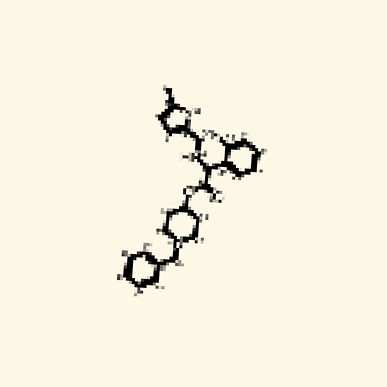 Cc1ccc(CNC(C(=O)OC2CCN(Cc3ccccc3)CC2)c2ccccc2F)s1